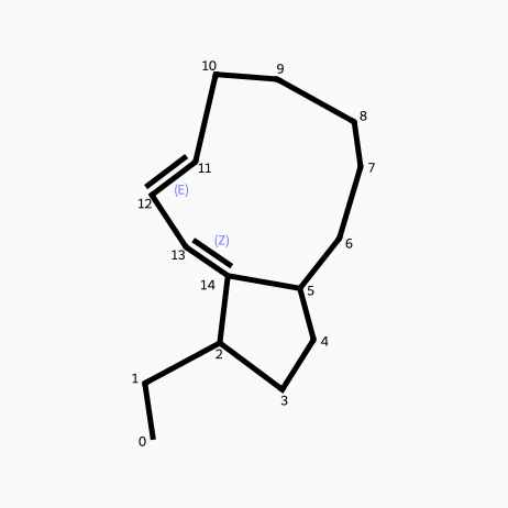 CCC1CCC2CCCCC/C=C/C=C/12